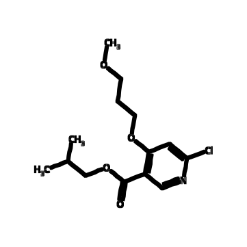 COCCCOc1cc(Cl)ncc1C(=O)OCC(C)C